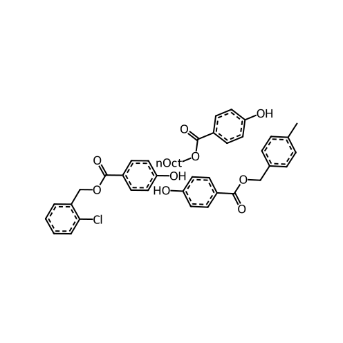 CCCCCCCCOC(=O)c1ccc(O)cc1.Cc1ccc(COC(=O)c2ccc(O)cc2)cc1.O=C(OCc1ccccc1Cl)c1ccc(O)cc1